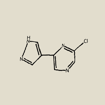 Clc1cncc(-c2cn[nH]c2)n1